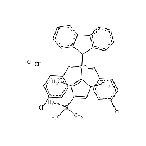 CC1=[C]([Zr+2](=[CH]c2ccc(Cl)cc2)(=[CH]c2ccc(Cl)cc2)[CH]2c3ccccc3-c3ccccc32)C(C)C=C1[Si](C)(C)C.[Cl-].[Cl-]